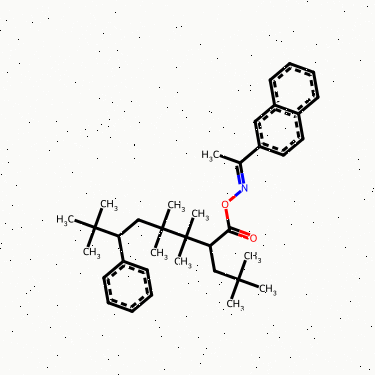 CC(=NOC(=O)C(CC(C)(C)C)C(C)(C)C(C)(C)CC(c1ccccc1)C(C)(C)C)c1ccc2ccccc2c1